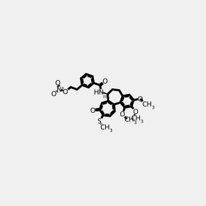 COc1cc2c(c(OC)c1OC)-c1ccc(SC)c(=O)cc1[C@@H](NC(=O)c1cccc(CCO[N+](=O)[O-])c1)CC2